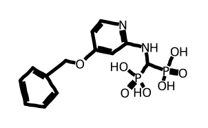 O=P(O)(O)C(Nc1cc(OCc2ccccc2)ccn1)P(=O)(O)O